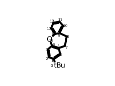 CC(C)(C)c1ccc2c(c1)CCc1ccccc1O2